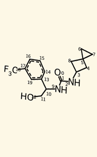 O=C(NC1CC2(CC2)C1)NC(CO)c1cccc(C(F)(F)F)c1